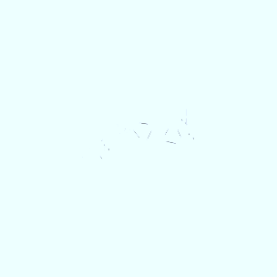 CN1CNc2cc(-c3ccc([C@@H]4C(F)(F)C45CCN(C(=O)C4(O)CC4)CC5)cc3)ccc21